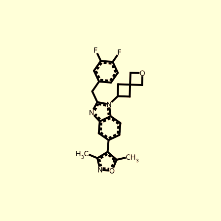 Cc1noc(C)c1-c1ccc2c(c1)nc(Cc1ccc(F)c(F)c1)n2C1CC2(COC2)C1